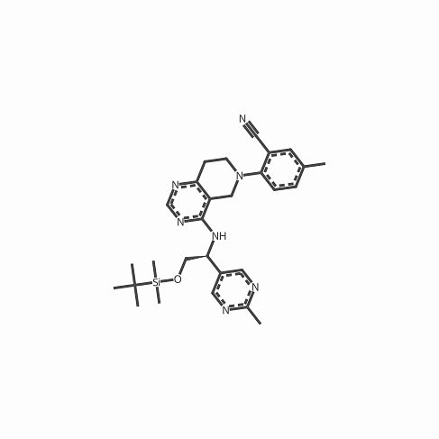 Cc1ccc(N2CCc3ncnc(N[C@H](CO[Si](C)(C)C(C)(C)C)c4cnc(C)nc4)c3C2)c(C#N)c1